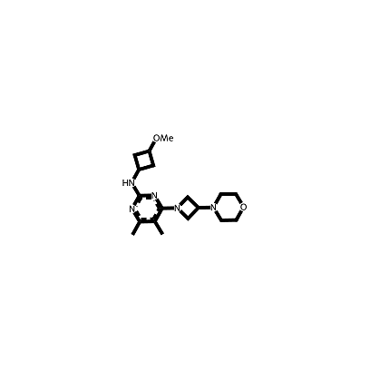 COC1CC(Nc2nc(C)c(C)c(N3CC(N4CCOCC4)C3)n2)C1